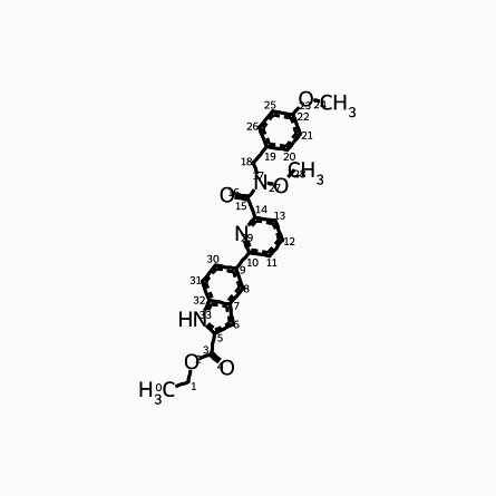 CCOC(=O)c1cc2cc(-c3cccc(C(=O)N(Cc4ccc(OC)cc4)OC)n3)ccc2[nH]1